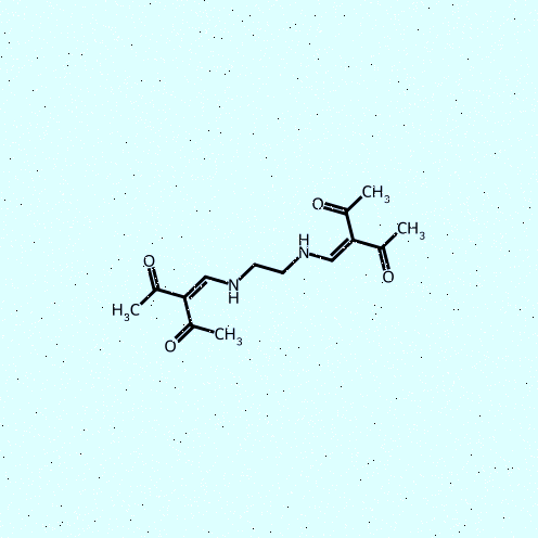 CC(=O)C(=CNCCNC=C(C(C)=O)C(C)=O)C(C)=O